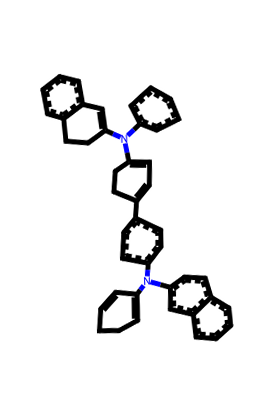 C1=CC(N(c2ccc(C3=CC=C(N(C4=Cc5ccccc5CC4)c4ccccc4)CC3)cc2)c2ccc3ccccc3c2)=CCC1